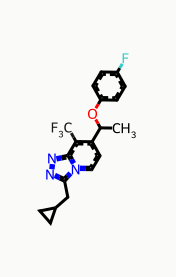 CC(Oc1ccc(F)cc1)c1ccn2c(CC3CC3)nnc2c1C(F)(F)F